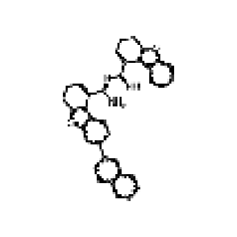 N=C(/N=C(\N)C1=CCCc2oc3cc(-c4ccc5ccccc5c4)ccc3c21)C1=CCCc2oc3ccccc3c21